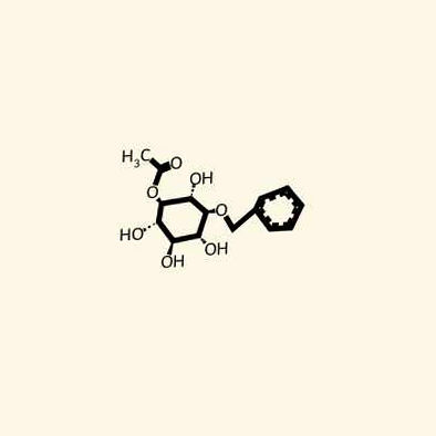 CC(=O)O[C@H]1[C@H](O)[C@@H](OCc2ccccc2)[C@H](O)[C@@H](O)[C@@H]1O